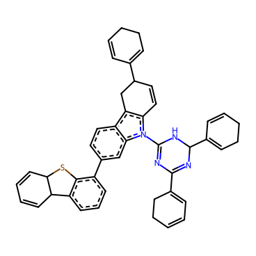 C1=CCCC(C2=NC(C3=CCCC=C3)NC(n3c4c(c5ccc(-c6cccc7c6SC6C=CC=CC76)cc53)CC(C3=CCCC=C3)C=C4)=N2)=C1